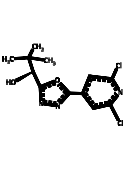 CC(C)(C)[C@H](O)c1nnc(-c2cc(Cl)nc(Cl)c2)o1